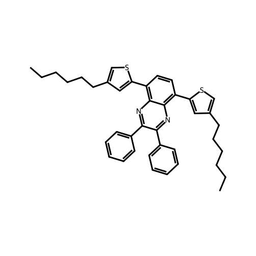 CCCCCCc1csc(-c2ccc(-c3cc(CCCCCC)cs3)c3nc(-c4ccccc4)c(-c4ccccc4)nc23)c1